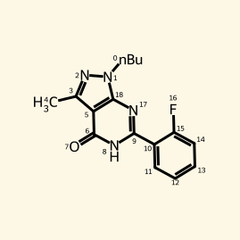 CCCCn1nc(C)c2c(=O)[nH]c(-c3ccccc3F)nc21